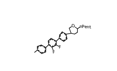 CCCCCC1CCC(c2ccc(-c3ccc(-c4ccc(C)cc4)c(F)c3F)cc2)CO1